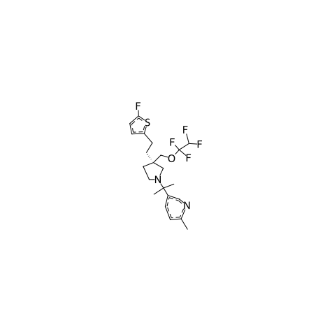 Cc1ccc(C(C)(C)N2CC[C@@](CCc3ccc(F)s3)(COC(F)(F)C(F)F)C2)cn1